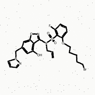 C=CCN(c1noc2cc(Cn3cccn3)cc(O)c12)S(=O)(=O)c1c(F)cccc1OCCCCCBr